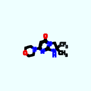 CC1(C(F)(F)F)Cn2c(nc(N3CCOCC3)cc2=O)N1